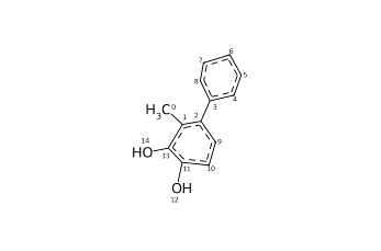 Cc1c(-c2ccccc2)ccc(O)c1O